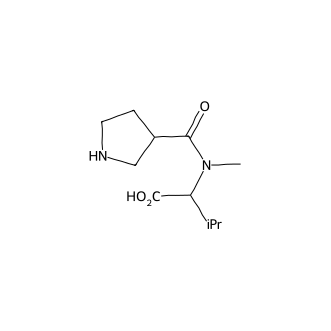 CC(C)C(C(=O)O)N(C)C(=O)C1CCNC1